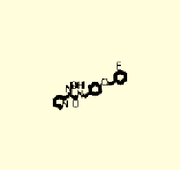 O=C(NCc1ccc(OCc2cccc(F)c2)cc1)C(=NO)c1ccccn1